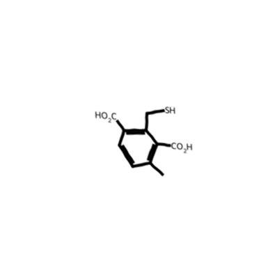 Cc1ccc(C(=O)O)c(CS)c1C(=O)O